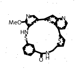 COc1ncc2cc1NSc1cccc(c1)C(=O)NCc1ccc(s1)-c1ccnc3cc-2sc13